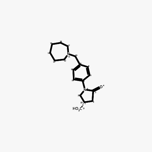 O=C(O)[C@H]1CC(=O)N(c2ccc(CN3CCCCCC3)cc2)C1